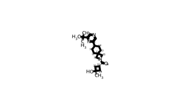 CC(C)(C)c1cncc(C2CCC3(CC2)CN(C(=O)[C@H]2C[C@@](C)(O)C2)C3)n1